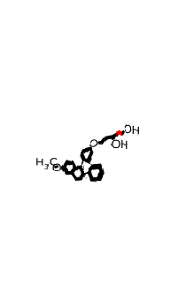 COc1ccc2c(c1)CC[C@H](c1ccccc1)[C@@H]2c1ccc(OCCC(O)CCO)cc1